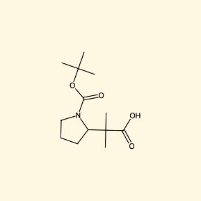 CC(C)(C)OC(=O)N1CCCC1C(C)(C)C(=O)O